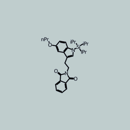 CCCOc1ccc2c(c1)c(CCN1C(=O)c3ccccc3C1=O)cn2[Si](C(C)C)(C(C)C)C(C)C